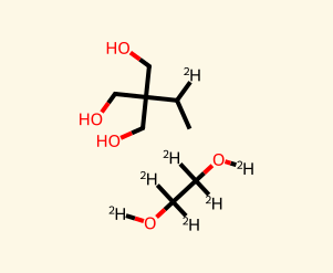 [2H]C(C)C(CO)(CO)CO.[2H]OC([2H])([2H])C([2H])([2H])O[2H]